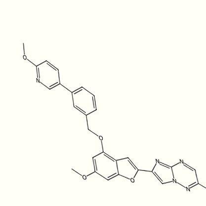 COc1cc(OCc2cccc(-c3ccc(OC)nc3)c2)c2cc(-c3cn4nc(C)cnc4n3)oc2c1